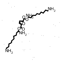 NCCCCCCCCCC(N)OC(=O)c1ccc(C(=O)OC(N)CCCCCCCCCN)o1